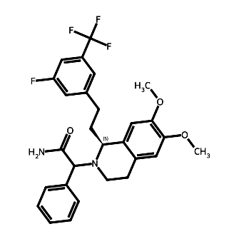 COc1cc2c(cc1OC)[C@H](CCc1cc(F)cc(C(F)(F)F)c1)N(C(C(N)=O)c1ccccc1)CC2